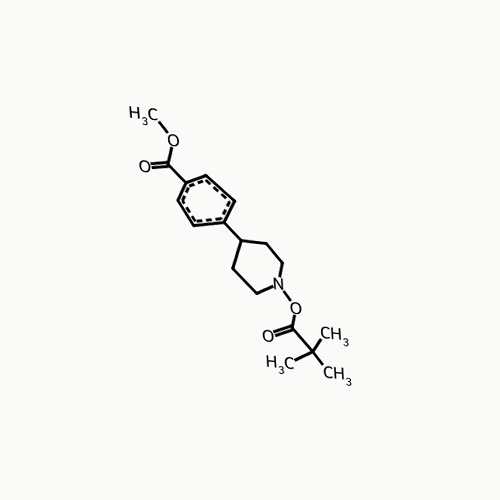 COC(=O)c1ccc(C2CCN(OC(=O)C(C)(C)C)CC2)cc1